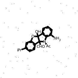 CC(=O)N1c2c(N)cccc2C2(O)Oc3cc(C(C)C)ccc3C12C=O